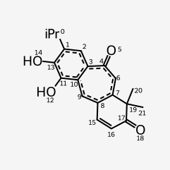 CC(C)c1cc2c(=O)cc3c(cc2c(O)c1O)C=CC(=O)C3(C)C